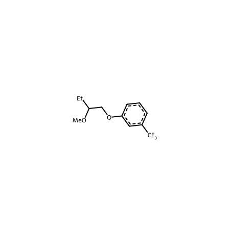 [CH2]CC(COc1cccc(C(F)(F)F)c1)OC